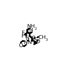 CCS(=O)(=O)C1(c2cc(-c3cnc(N)cc3C(F)(F)F)nc(N3CCOCC3)n2)CC1